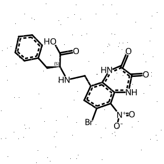 O=C(O)[C@H](Cc1ccccc1)NCc1cc(Br)c([N+](=O)[O-])c2[nH]c(=O)c(=O)[nH]c12